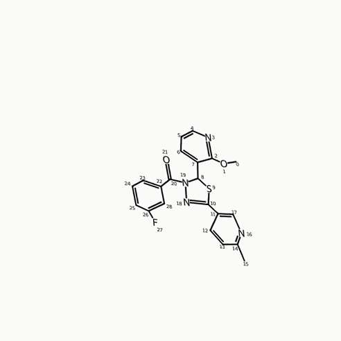 COc1ncccc1C1SC(c2ccc(C)nc2)=NN1C(=O)c1cccc(F)c1